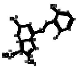 CCc1cc(OCc2c(F)cccc2F)n2nc(C)c(C(=O)O)c2c1